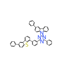 c1ccc(-c2ccc3sc4c(-c5cccc(-c6nc(-c7ccccc7)nc(-n7c8ccccc8c8cc(-c9ccccc9)ccc87)n6)c5)cccc4c3c2)cc1